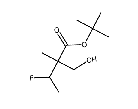 CC(F)C(C)(CO)C(=O)OC(C)(C)C